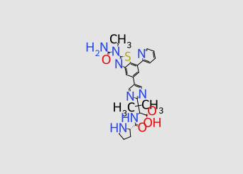 CCN(C(N)=O)c1nc2cc(-c3cnc(C(C)(C)C(NC(=O)[C@@H]4CCCN4)C(=O)O)nc3)cc(-c3ccccn3)c2s1